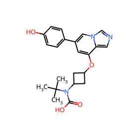 CC(C)(C)N(C(=O)O)C1CC(Oc2cc(-c3ccc(O)cc3)cn3cncc23)C1